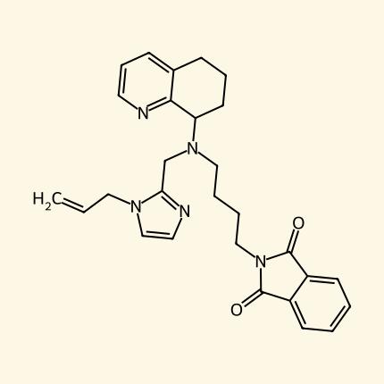 C=CCn1ccnc1CN(CCCCN1C(=O)c2ccccc2C1=O)C1CCCc2cccnc21